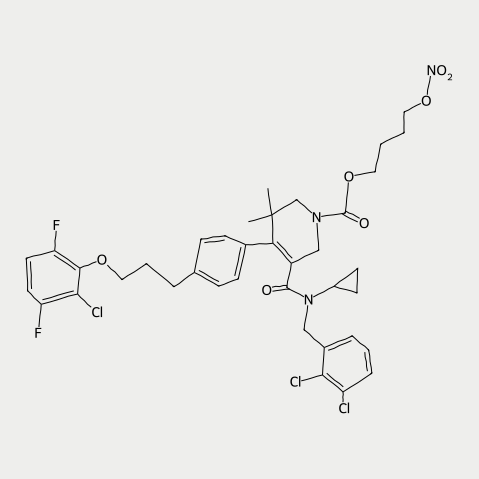 CC1(C)CN(C(=O)OCCCCO[N+](=O)[O-])CC(C(=O)N(Cc2cccc(Cl)c2Cl)C2CC2)=C1c1ccc(CCCOc2c(F)ccc(F)c2Cl)cc1